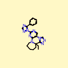 CCC12CCCCCN1c1nc(-n3ncnc3-c3ccccc3)ncc1-n1cnnc12